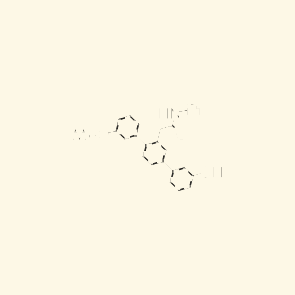 COc1cccc(-c2ccc(-c3cccc(O)c3)cc2CC(=O)NC(C)C)c1